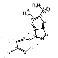 CC[C@H](N)c1cc2cnn(-c3ccc(F)cc3)c2cc1C